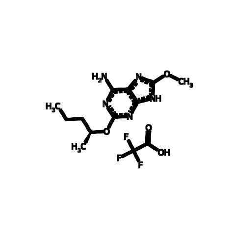 CCC[C@H](C)Oc1nc(N)c2nc(OC)[nH]c2n1.O=C(O)C(F)(F)F